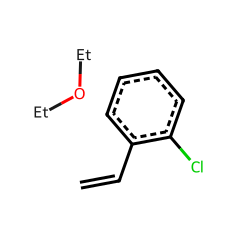 C=Cc1ccccc1Cl.CCOCC